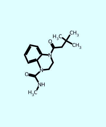 CNC(=O)N1CCN(C(=O)CC(C)(C)C)c2ccccc21